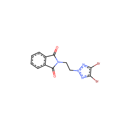 O=C1c2ccccc2C(=O)N1CCn1nc(Br)c(Br)n1